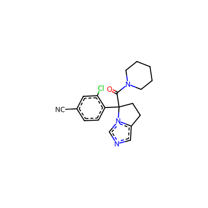 N#Cc1ccc(C2(C(=O)N3CCCCC3)CCc3cncn32)c(Cl)c1